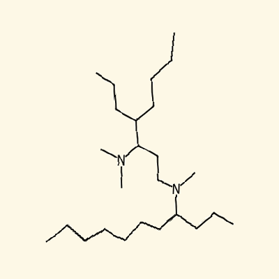 CCCCCCCC(CCC)N(C)CCC(C(CCC)CCCC)N(C)C